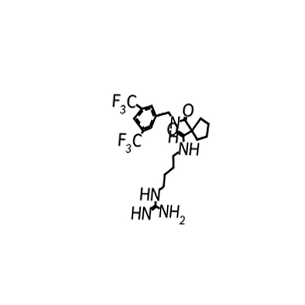 N=C(N)NCCCCNC(=O)C1(C(=O)NCc2cc(C(F)(F)F)cc(C(F)(F)F)c2)CCCC1